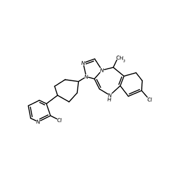 CC1C2=C(C=C(Cl)CC2)NC=C2N1C=NN2C1CCC(c2cccnc2Cl)CC1